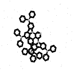 c1ccc(-c2cccc(-c3cccc(-c4c(-n5c6ccc(N(c7ccccc7)c7ccccc7)cc6c6cc(N(c7ccccc7)c7ccccc7)ccc65)cncc4-n4c5ccc(N(c6ccccc6)c6ccccc6)cc5c5cc(N(c6ccccc6)c6ccccc6)ccc54)c3)n2)cc1